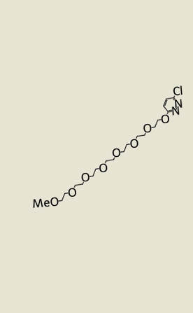 COCCOCCOCCOCCOCCOCCOCCOc1ccc(Cl)nn1